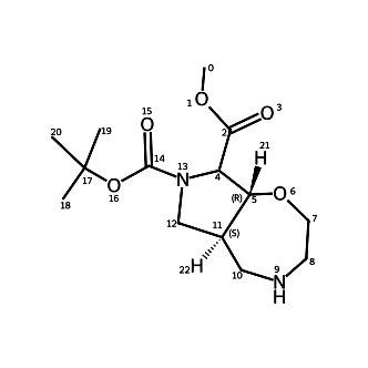 COC(=O)C1[C@@H]2OCCNC[C@H]2CN1C(=O)OC(C)(C)C